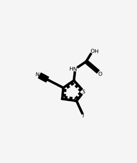 N#Cc1cc(I)sc1NC(=O)O